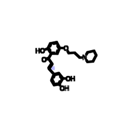 O=C(/C=C/c1ccc(O)c(O)c1)c1cc(OCCCN2CCCCC2)ccc1O